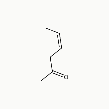 C/C=C\CC(C)=O